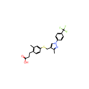 Cc1cc(SCc2cn(-c3ccc(C(F)(F)F)cc3)nc2C)ccc1CCC(=O)O